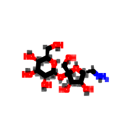 NC[C@H]1O[C@@](CO)(O[C@H]2O[C@H](CO)[C@@H](O)[C@H](O)[C@H]2O)[C@@H](O)[C@@H]1O